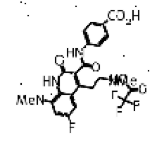 CNCCc1c(C(=O)Nc2ccc(C(=O)O)cc2)c(=O)[nH]c2c(NC)cc(F)cc12.O=C(O)C(F)(F)F